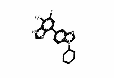 Fc1cc(-c2ccc3c(c2)ncn3C2CCCCC2)c2nc[nH]c2c1C(F)(F)F